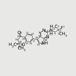 CC(C)(F)CNc1ncc2c(-c3ccc4c(c3)OC(C)(C)CC4=O)c[nH]c2n1